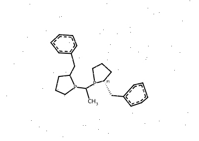 CC(P1CCCC1Cc1ccccc1)P1CCC[C@@H]1Cc1ccccc1